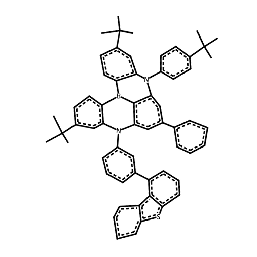 CC(C)(C)c1ccc(N2c3cc(C(C)(C)C)ccc3B3c4ccc(C(C)(C)C)cc4N(c4cccc(-c5cccc6sc7ccccc7c56)c4)c4cc(-c5ccccc5)cc2c43)cc1